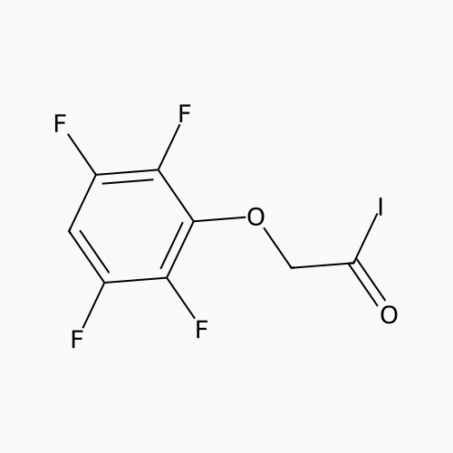 O=C(I)COc1c(F)c(F)cc(F)c1F